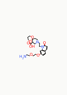 NCCOCCOc1ccc2ccc(=O)n(CCN3CCC4(OCCCO4)C(C(=O)O)C3)c2c1